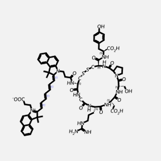 CC1(C)C(/C=C/C=C/C=C/C=C2/N(CCC(=O)N[C@@H]3CSSC[C@@H](C(=O)N[C@@H](Cc4ccc(O)cc4)C(=O)O)NC(=O)C4CCCN4C(=O)[C@H](CO)NC(=O)[C@H](CC(=O)O)NC(=O)[C@H](CCCNC(=N)N)NC(=O)CNC3=O)c3ccc4ccccc4c3C2(C)C)=[N+](CCC(=O)[O-])c2ccc3ccccc3c21